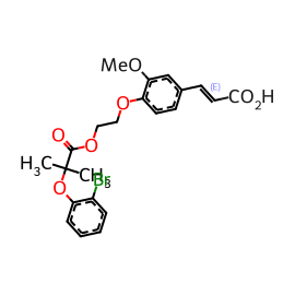 COc1cc(/C=C/C(=O)O)ccc1OCCOC(=O)C(C)(C)Oc1ccccc1Br